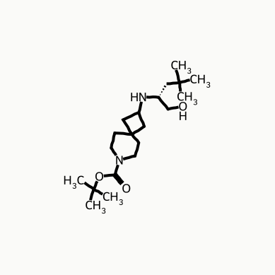 CC(C)(C)C[C@H](CO)NC1CC2(CCN(C(=O)OC(C)(C)C)CC2)C1